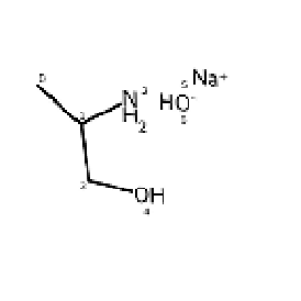 CC(N)CO.[Na+].[OH-]